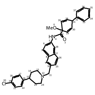 COC1(C(=O)Nc2ccc3cc(CN4CCC(c5ccc(Cl)cc5)CC4)ccc3c2)C=CC(c2ccccc2)C=C1